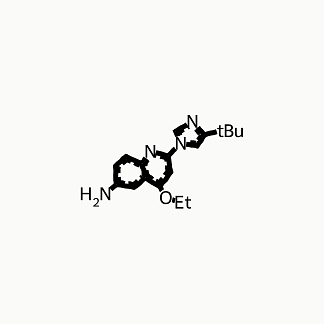 CCOc1cc(-n2cnc(C(C)(C)C)c2)nc2ccc(N)cc12